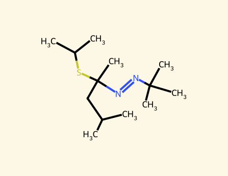 CC(C)CC(C)(N=NC(C)(C)C)SC(C)C